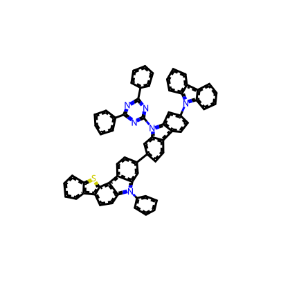 c1ccc(-c2nc(-c3ccccc3)nc(-n3c4cc(-c5ccc6c7c8sc9ccccc9c8ccc7n(-c7ccccc7)c6c5)ccc4c4ccc(-n5c6ccccc6c6ccccc65)cc43)n2)cc1